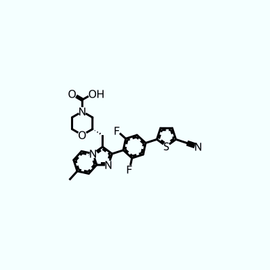 Cc1ccn2c(C[C@H]3CN(C(=O)O)CCO3)c(-c3c(F)cc(-c4ccc(C#N)s4)cc3F)nc2c1